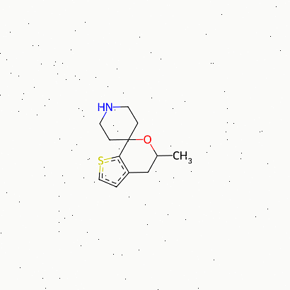 CC1Cc2ccsc2C2(CCNCC2)O1